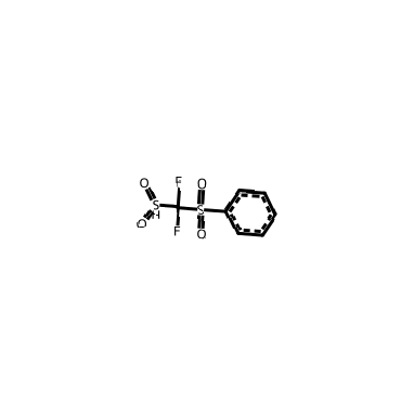 O=[SH](=O)C(F)(F)S(=O)(=O)c1ccccc1